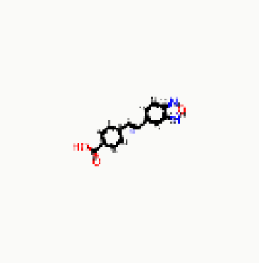 O=C(O)c1ccc(/C=C/c2ccc3nonc3c2)cc1